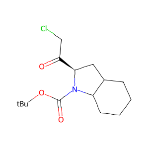 CC(C)(C)OC(=O)N1C2CCCCC2C[C@@H]1C(=O)CCl